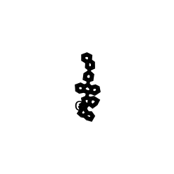 c1ccc2cc(-c3ccc(-c4c5ccccc5c(-c5cc6oc7ccc8ccccc8c7c6c6ccccc56)c5ccccc45)cc3)ccc2c1